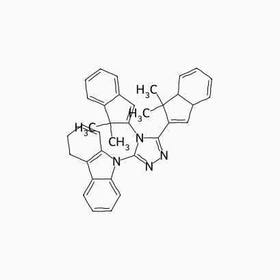 CC1(C)C(n2c(C3=CC4C=CC=CC4C3(C)C)nnc2-n2c3c(c4ccccc42)CCC=C3)=Cc2ccccc21